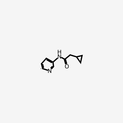 O=C(CC1CC1)Nc1cc[c]nc1